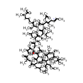 C/C=C/C[C@@H](C)[C@@H](OC(C)=O)[C@@H](C(=O)N[C@@H](CC)C(=O)OCCN(C)C(C)=O)N(C)C(=O)[C@H](C(C)C)N(C)C(=O)[C@H](CC(C)C)N(C)C(=O)[C@H](CC(C)C)N(C)C(=O)[C@@H](C)NC(=O)[C@H](C)NC(=O)[C@H](CC(C)C)N(C)C(=O)[C@@H](NC(=O)[C@H](C(COC)COC)N(C)C(=O)[C@@H](C)N(C)C(=O)OC(C)(C)C)C(C)C